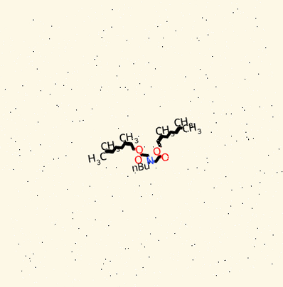 CCCCN(CC(=O)OCC=C(C)CCC=C(C)C)CC(=O)OCC=C(C)CCC=C(C)C